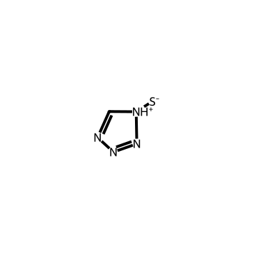 [S-][NH+]1C=NN=N1